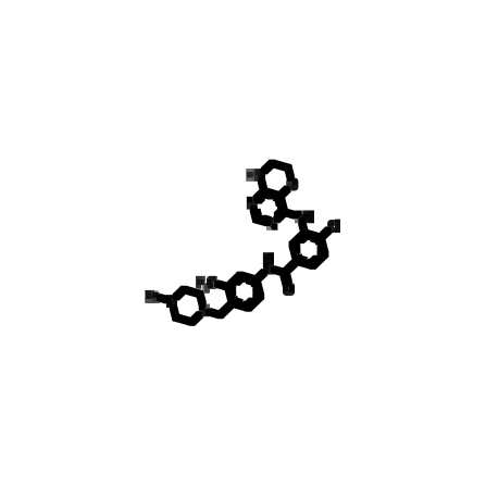 CCN1CCN(Cc2ccc(NC(=O)c3ccc(Cl)c(Nc4ncnc5c4OCCN5)c3)cc2C(F)(F)F)CC1